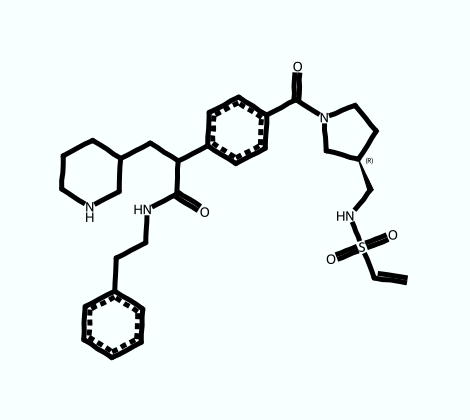 C=CS(=O)(=O)NC[C@@H]1CCN(C(=O)c2ccc(C(CC3CCCNC3)C(=O)NCCc3ccccc3)cc2)C1